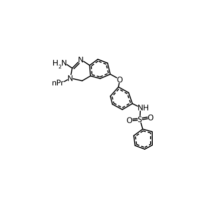 CCCN1Cc2cc(Oc3cccc(NS(=O)(=O)c4ccccc4)c3)ccc2N=C1N